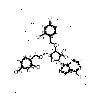 C[C@@]1(O)[C@H](OCc2ccc(Cl)cc2Cl)[C@@H](COCc2ccc(Cl)cc2Cl)O[C@H]1n1ncc2c(Cl)ncnc21